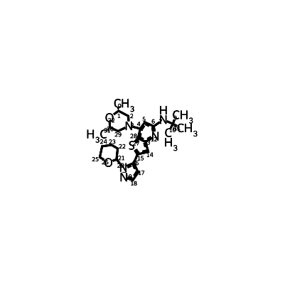 C[C@@H]1CN(c2cc(NC(C)(C)C)nc3cc(-c4ccnn4C4CCCCO4)sc23)C[C@@H](C)O1